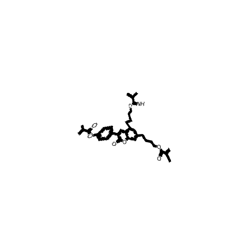 C=C(C)C(=N)OCCCCc1cc(CCCCOC(=O)C(=C)C)cc2oc(=O)c(-c3ccc(OC(=O)C(=C)C)cc3)cc12